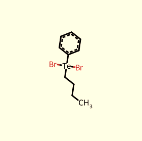 CCCC[Te](Br)(Br)c1ccccc1